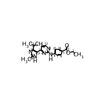 CCOC(=O)c1ccc(Nc2nccc(-c3[nH]c(C)nc3C(C)C)n2)cc1